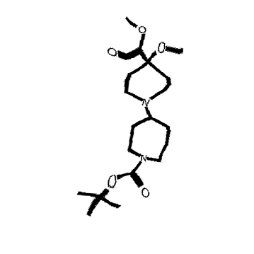 COC(=O)C1(OC)CCN(C2CCCN(C(=O)OC(C)(C)C)CC2)CC1